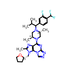 Cc1nc2c(N3C[C@@H](C)N(C(c4ccc(C(F)F)c(F)c4)C(C)C)C[C@@H]3C)nc3nncn3c2n1C[C@@H]1CCCO1